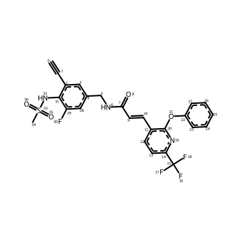 C#Cc1cc(CNC(=O)C=Cc2ccc(C(F)(F)F)nc2Oc2ccccc2)cc(F)c1NS(C)(=O)=O